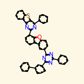 c1ccc(-c2cccc(-c3nc(-c4ccccc4)nc(-c4ccc5oc6c(-c7nc(-c8ccccc8)c8sc9ccccc9c8n7)cccc6c5c4)n3)c2)cc1